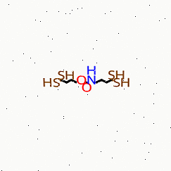 O=C(NCCCC(S)S)OCCCC(S)S